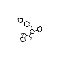 O=C(c1c[nH]c2ccccc12)N1CC(CN2CCC(c3ccccc3)CC2)C(c2ccccc2)C1